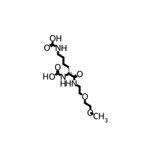 COCCOCCNC(=O)[C@@H](CCCCNC(=O)O)NC(=O)O